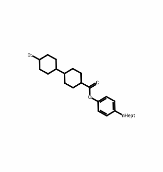 CCCCCCCc1ccc(OC(=O)C2CCC(C3CCC(CC)CC3)CC2)cc1